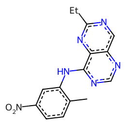 CCc1ncc2ncnc(Nc3cc([N+](=O)[O-])ccc3C)c2n1